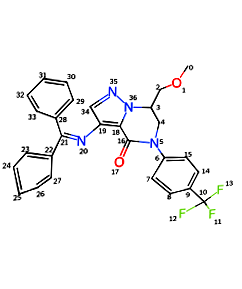 COCC1CN(c2ccc(C(F)(F)F)cc2)C(=O)c2c(N=C(c3ccccc3)c3ccccc3)cnn21